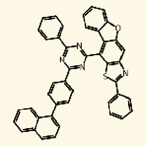 c1ccc(-c2nc(-c3ccc(-c4cccc5ccccc45)cc3)nc(-c3c4sc(-c5ccccc5)nc4cc4oc5ccccc5c34)n2)cc1